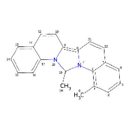 Cc1cccc2c1N1C(=C3C=Cc4ccccc4N3C1C)C=C2